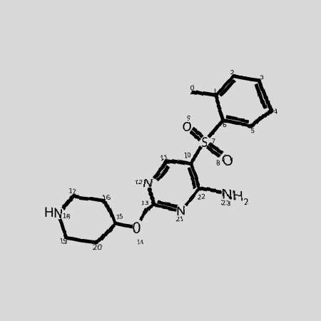 Cc1ccccc1S(=O)(=O)c1cnc(OC2CCNCC2)nc1N